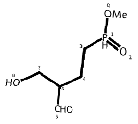 CO[PH](=O)CCC(C=O)CO